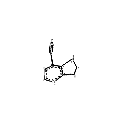 N#Cc1ccnc2c1NCC2